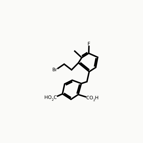 Cc1c(F)ccc(Cc2ccc(C(=O)O)cc2C(=O)O)c1CCBr